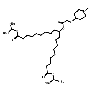 CCCCC(CCCC)OC(=O)CCCCCCCCC(CCCCCCCCC(=O)OC(CCCC)CCCC)OC(=O)COC1CCN(C)CC1